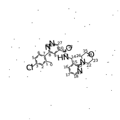 Cc1cc(Cl)ccc1-c1cc(C(=O)NCc2cccnc2N2CCOCC2)cnn1